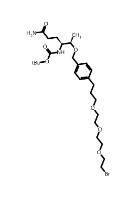 C[C@@H](OCc1ccc(CCCOCCOCCOCCBr)cc1)[C@H](CCC(N)=O)NC(=O)OC(C)(C)C